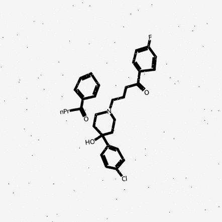 CCCC(=O)c1ccccc1.O=C(CCCN1CCC(O)(c2ccc(Cl)cc2)CC1)c1ccc(F)cc1